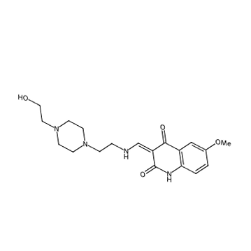 COc1ccc2c(c1)C(=O)C(=CNCCN1CCN(CCO)CC1)C(=O)N2